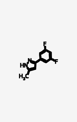 Cc1cc(-c2cc(F)cc(F)c2)n[nH]1